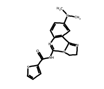 CN(C)c1ccc2c(c1)C1=NCCN1C(NC(=O)c1cccs1)=N2